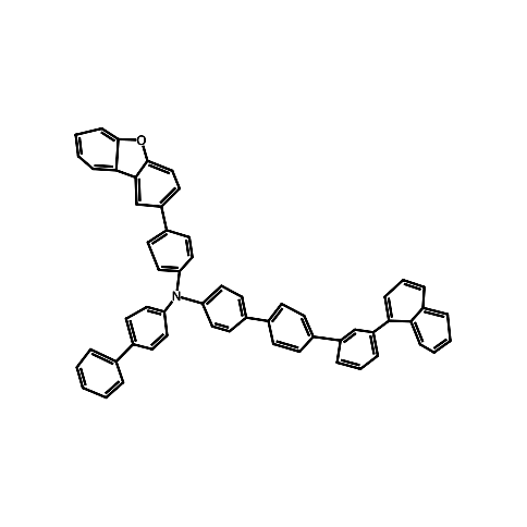 c1ccc(-c2ccc(N(c3ccc(-c4ccc(-c5cccc(-c6cccc7ccccc67)c5)cc4)cc3)c3ccc(-c4ccc5oc6ccccc6c5c4)cc3)cc2)cc1